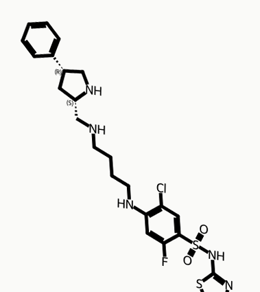 O=S(=O)(Nc1nccs1)c1cc(Cl)c(NCCCCNC[C@@H]2C[C@H](c3ccccc3)CN2)cc1F